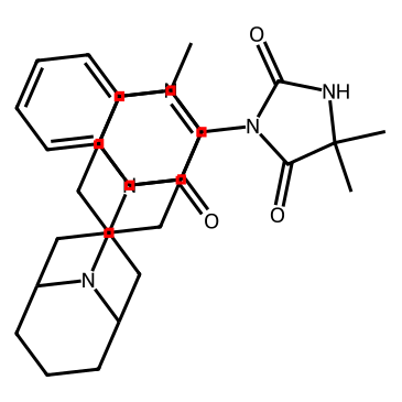 CC1CC2CC(C1)CC(N1C3CCCC1CC(n1c(=O)c(N4C(=O)NC(C)(C)C4=O)nc4ccccc41)C3)C2